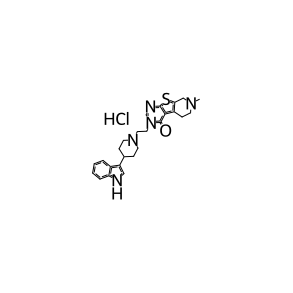 CN1CCc2c(sc3ncn(CCN4CCC(c5c[nH]c6ccccc56)CC4)c(=O)c23)C1.Cl